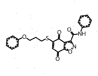 O=C(Nc1ccccc1)c1noc2c1C(=O)C(SCCCOc1ccccc1)=CC2=O